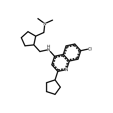 CN(C)CC1CCCC1CNc1cc(C2CCCC2)nc2cc(Cl)ccc12